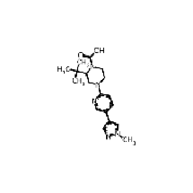 Cn1cc(-c2ccc(N3CCN(C(=O)O)C(C(C)(C)C)C3)nc2)cn1